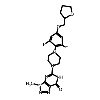 Cn1nnc2c(=O)[nH]c(N3CCN(c4c(F)cc(OCC5CCCO5)cc4F)CC3)nc21